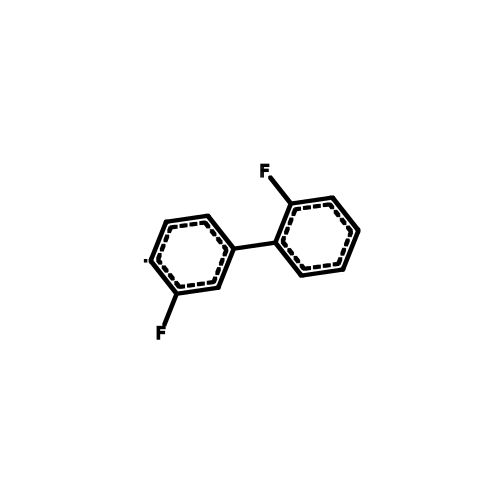 Fc1[c]ccc(-c2ccccc2F)c1